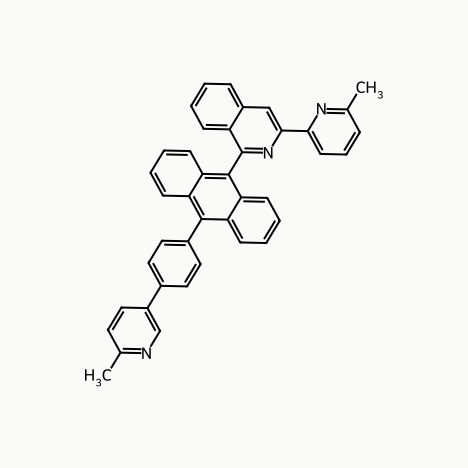 Cc1ccc(-c2ccc(-c3c4ccccc4c(-c4nc(-c5cccc(C)n5)cc5ccccc45)c4ccccc34)cc2)cn1